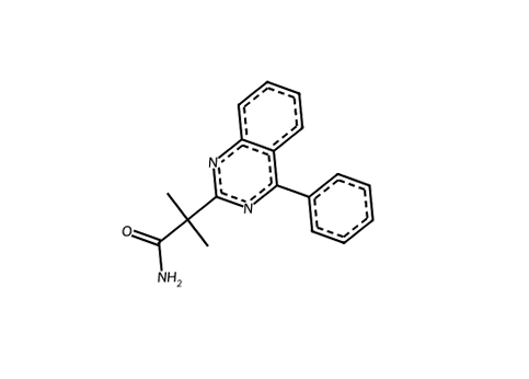 CC(C)(C(N)=O)c1nc(-c2ccccc2)c2ccccc2n1